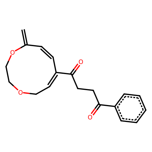 C=C1/C=C\C(C(=O)CCC(=O)c2ccccc2)=C/COCCO1